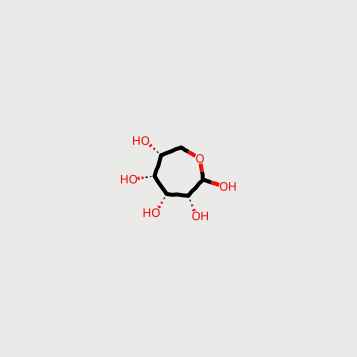 OC1OC[C@@H](O)[C@@H](O)[C@@H](O)[C@H]1O